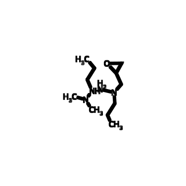 CCCN(N)CC1CO1.CCCNN(C)C